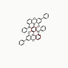 c1ccc(-c2cc3c4c(c2)Oc2c5c6c(c7c2[Si]4(c2ccccc2)c2c(cccc2N7c2ccccc2)O3)Oc2cc(-c3ccccc3)cc3c2[Si]6(c2ccccc2)c2c(cccc2N5c2ccccc2)O3)cc1